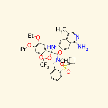 CCOc1cc(C(Nc2ccc3c(N)ncc(C)c3c2)(OC(=O)C(F)(F)F)C(=O)N(C)Cc2ccccc2S(=O)(=O)C2CCC2)ccc1OC(C)C